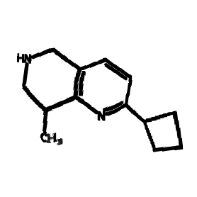 CC1CNCc2ccc(C3CCC3)nc21